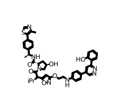 Cc1ncsc1-c1ccc([C@H](C)NC(=O)[C@@H]2C[C@@H](O)CN2C(=O)C(c2cc(OCCNc3ccc(-c4cnnc(-c5ccccc5O)c4)cc3)no2)C(C)C)cc1